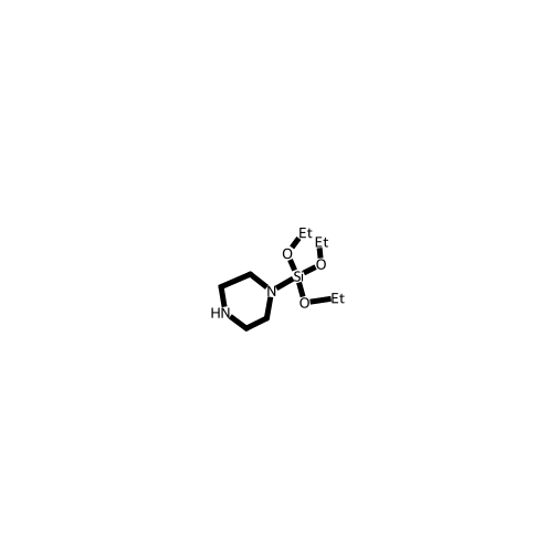 CCO[Si](OCC)(OCC)N1CCNCC1